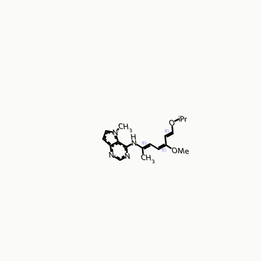 COC(/C=C/OC(C)C)=C/C=C(\C)Nc1ncnc2ccn(C)c12